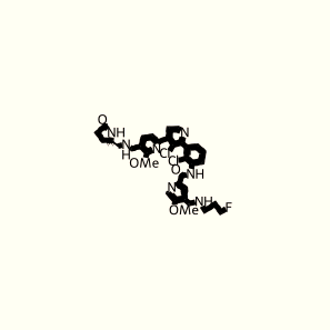 COc1cnc(C(=O)Nc2cccc(-c3nccc(-c4ccc(CNC[C@H]5CCC(=O)N5)c(OC)n4)c3Cl)c2Cl)cc1CNCCCF